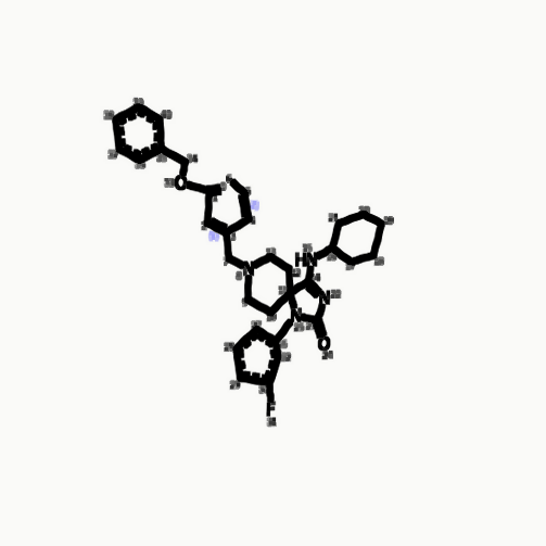 C=C(/C=C(\C=C/C)CN1CCC2(CC1)C(NC1CCCCC1)=NC(=O)N2c1cccc(F)c1)OCc1ccccc1